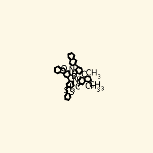 Cc1cc2c(cc1N1B3c4c(cc5c(oc6ccccc65)c4-n4c5cc6ccccc6cc5c5cccc3c54)-c3cc4c(cc31)Sc1ccccc1S4)C(C)(C)CCC2(C)C